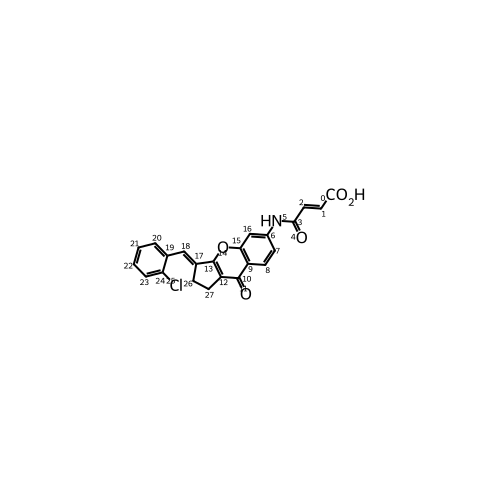 O=C(O)C=CC(=O)Nc1ccc2c(=O)c3c(oc2c1)C(=Cc1ccccc1Cl)CC3